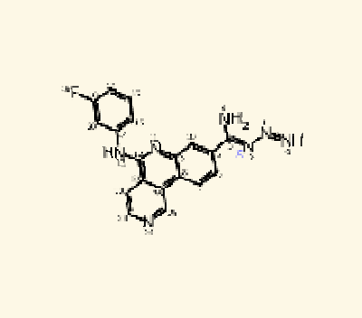 N=N/N=C(\N)c1ccc2c(c1)nc(Nc1cccc(F)c1)c1ccncc12